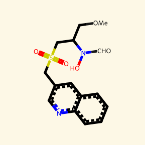 COCC(CS(=O)(=O)Cc1cnc2ccccc2c1)N(O)C=O